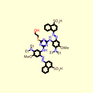 CCN(CC)c1cc(Nc2nc(Nc3cc(N(CC)CC)c(OC)cc3/N=N/c3ccc(S(=O)(=O)O)c4ccccc34)nc(SCCO)n2)c(/N=N/c2ccc(S(=O)(=O)O)c3ccccc23)cc1OC